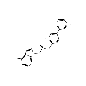 O=C(Cn1ccc2c(Cl)ccnc21)Nc1ccc(-c2cnccn2)cn1